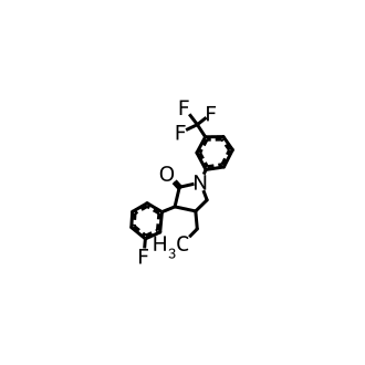 CCC1CN(c2cccc(C(F)(F)F)c2)C(=O)C1c1cccc(F)c1